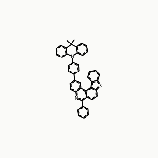 CC1(C)c2ccccc2N(c2ccc(-c3ccc4nc(-c5ccccc5)c5ccc6sc7ccccc7c6c5c4c3)cc2)c2ccccc21